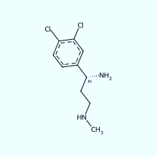 CNCC[C@@H](N)c1ccc(Cl)c(Cl)c1